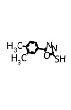 Cc1ccc(-c2nnc(S)o2)cc1C